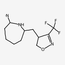 [N]C1CCCCC(CC2CON=C2C(F)(F)F)N1